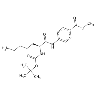 COC(=O)c1ccc(NC(=O)[C@H](CCCCN)NC(=O)OC(C)(C)C)cc1